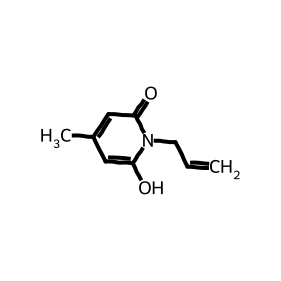 C=CCn1c(O)cc(C)cc1=O